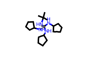 CC(C)(C)N[Si](NC1CCCC1)(NC1CCCC1)NC1CCCC1